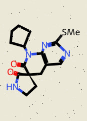 CSc1ncc2c(n1)N(C1CCCC1)C(=O)[C@]1(CCNC1=O)C2